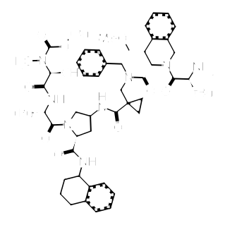 COC[C@@H](c1ccccc1)N(CC1(C(=O)NC2C[C@@H](C(=O)NC3CCCc4ccccc43)N(C(=O)[C@@H](NC(=O)[C@H](C)N(C)C(=O)OC(C)(C)C)C(C)(C)C)C2)CC1)C(=O)[C@@H]1Cc2ccccc2CN1C(=O)[C@@H](N)C(C)(C)C